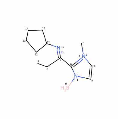 Bn1cc[n+](C)c1/C(CC)=N/C1CCCC1